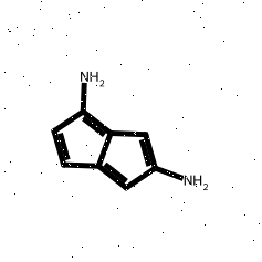 NC1=CC2=C(N)C=CC2=C1